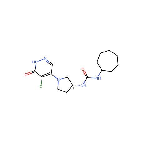 O=C(NC1CCCCCC1)N[C@@H]1CCN(c2cn[nH]c(=O)c2Cl)C1